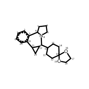 c1ccc(C2CCCN2CC2CCC3(CC2)OCCO3)c(C2CC2)c1